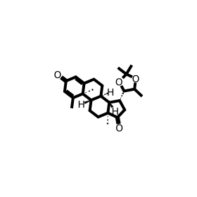 CC1=CC(=O)C=C2CC[C@H]3[C@@H]4[C@H](C5OC(C)(C)OC5C)CC(=O)[C@@]4(C)CC[C@@H]3[C@@]12C